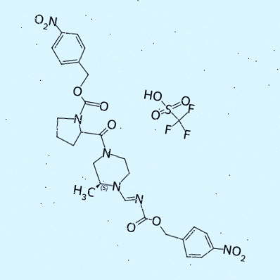 C[C@H]1CN(C(=O)C2CCCN2C(=O)OCc2ccc([N+](=O)[O-])cc2)CCN1C=NC(=O)OCc1ccc([N+](=O)[O-])cc1.O=S(=O)(O)C(F)(F)F